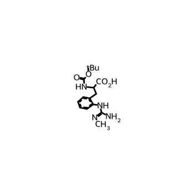 CN=C(N)Nc1ccccc1CC(NC(=O)OC(C)(C)C)C(=O)O